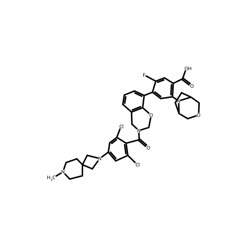 CN1CCC2(CC1)CN(c1cc(Cl)c(C(=O)N3COc4c(cccc4-c4cc(N5C6CCC5COC6)c(C(=O)O)cc4F)C3)c(Cl)c1)C2